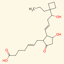 CCCC1(C(O)CC=CC2C(O)CC(=O)C2CC=CCCCC(=O)O)CCC1